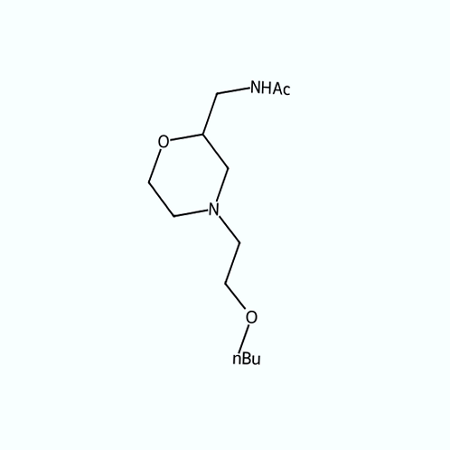 CCCCOCCN1CCOC(CNC(C)=O)C1